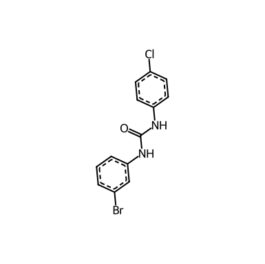 O=C(Nc1ccc(Cl)cc1)Nc1cccc(Br)c1